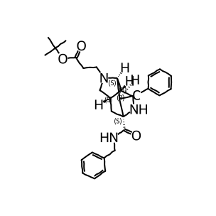 CC(C)(C)OC(=O)CCN1C[C@H]2C[C@]3(C(=O)NCc4ccccc4)NC[C@H]2[C@H]1[C@H]3Cc1ccccc1